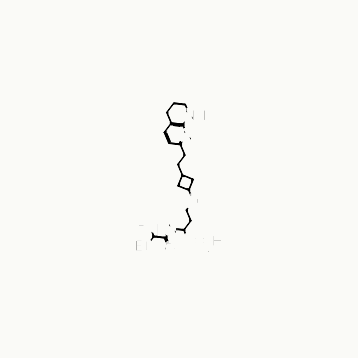 CCC(CC)C(=O)NC(CCOC1CC(CCc2ccc3c(n2)NCCC3)C1)C(=O)O